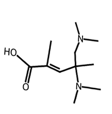 C/C(=C\C(C)(CN(C)C)N(C)C)C(=O)O